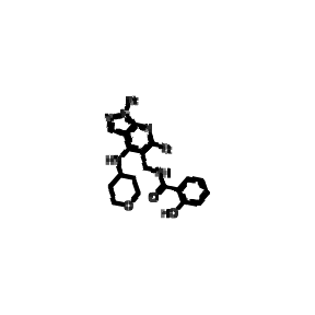 CCc1nc2c(cnn2CC)c(NC2CCOCC2)c1CNC(=O)c1ccccc1O